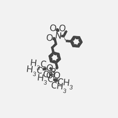 CC(C)(C)OP(=O)(Cc1ccc(CCC(=O)N2C(=O)OC[C@@H]2Cc2ccccc2)cc1)OC(C)(C)C